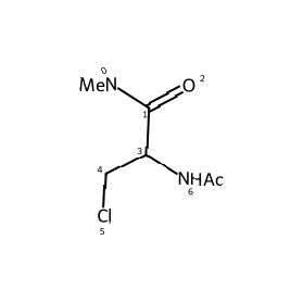 CNC(=O)C(CCl)NC(C)=O